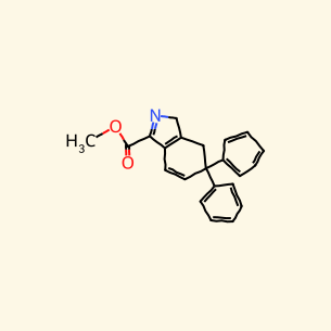 COC(=O)C1=NCC2=C1C=CC(c1ccccc1)(c1ccccc1)C2